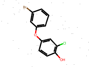 Oc1ccc(Oc2cccc(Br)c2)cc1Cl